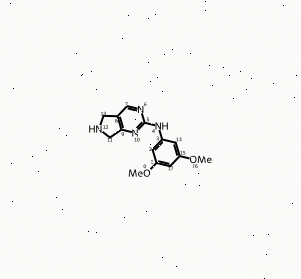 COc1cc(Nc2ncc3c(n2)CNC3)cc(OC)c1